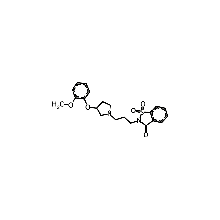 COc1ccccc1OC1CCN(CCCN2C(=O)c3ccccc3S2(=O)=O)C1